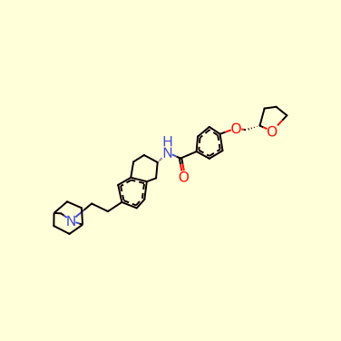 O=C(N[C@H]1CCc2cc(CCN3CC4CCC3CC4)ccc2C1)c1ccc(OC[C@@H]2CCCO2)cc1